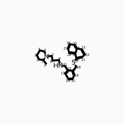 CC1CCCCN1CCCNCc1ccccc1CSc1cccc2ccccc12